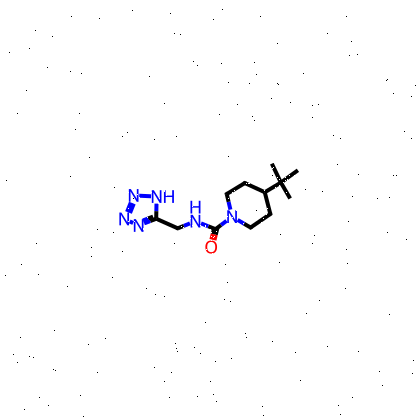 CC(C)(C)C1CCN(C(=O)NCc2nnn[nH]2)CC1